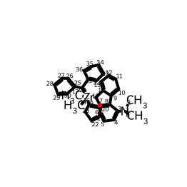 CN(C)c1cccc2c1-c1ccccc1[CH]2[Zr]([CH3])([CH3])([C]1=CC=CC1)=[C](c1ccccc1)c1ccccc1